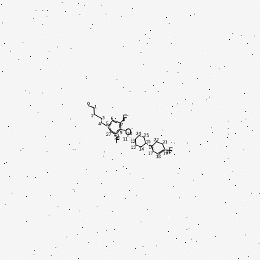 CCCCCc1cc(F)c(OC[C@H]2CC[C@H](C3CC=C(F)CC3)CC2)c(F)c1